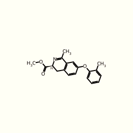 COC(=O)[C@@H]1Cc2ccc(Oc3ccccc3C)cc2C(C)=N1